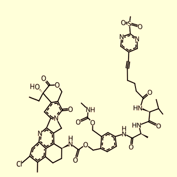 CC[C@@]1(O)C(=O)OCc2c1cc1n(c2=O)Cc2c-1nc1cc(Cl)c(C)c3c1c2[C@@H](NC(=O)OCc1ccc(NC(=O)[C@H](C)NC(=O)[C@@H](NC(=O)CCCC#Cc2cnc(S(C)(=O)=O)nc2)C(C)C)cc1COC(=O)NC)CC3